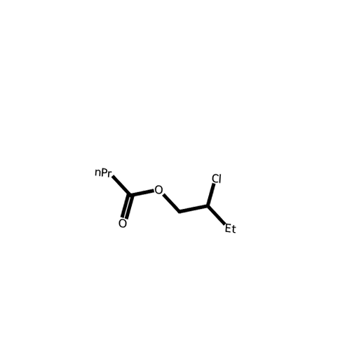 CCCC(=O)OCC(Cl)CC